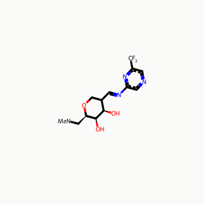 CNC[C@H]1OCC(/C=N/c2cncc(C(F)(F)F)n2)[C@@H](O)[C@H]1O